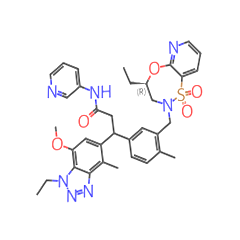 CC[C@@H]1CN(Cc2cc(C(CC(=O)Nc3cccnc3)c3cc(OC)c4c(nnn4CC)c3C)ccc2C)S(=O)(=O)c2cccnc2O1